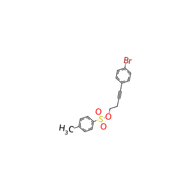 Cc1ccc(S(=O)(=O)OCCC#Cc2ccc(Br)cc2)cc1